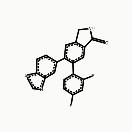 O=C1NCc2cc(-c3ccc4scnc4c3)c(-c3ccc(F)cc3F)cc21